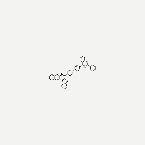 c1ccc(-c2nc(-c3ccc(-c4ccc(-c5nc6cc7ccccc7cc6c6c5sc5ccccc56)cc4)cc3)c3ccccc3n2)cc1